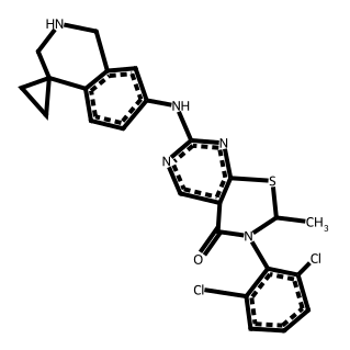 CC1Sc2nc(Nc3ccc4c(c3)CNCC43CC3)ncc2C(=O)N1c1c(Cl)cccc1Cl